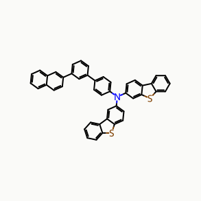 c1cc(-c2ccc(N(c3ccc4c(c3)sc3ccccc34)c3ccc4sc5ccccc5c4c3)cc2)cc(-c2ccc3ccccc3c2)c1